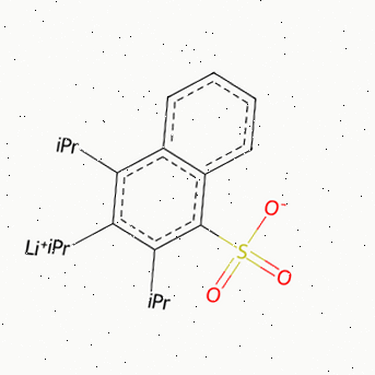 CC(C)c1c(C(C)C)c(S(=O)(=O)[O-])c2ccccc2c1C(C)C.[Li+]